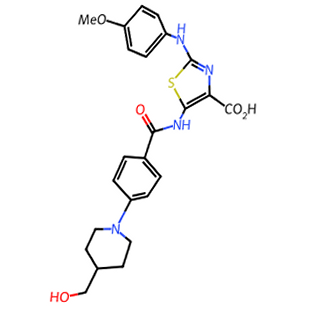 COc1ccc(Nc2nc(C(=O)O)c(NC(=O)c3ccc(N4CCC(CO)CC4)cc3)s2)cc1